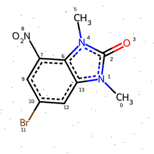 Cn1c(=O)n(C)c2c([N+](=O)[O-])cc(Br)cc21